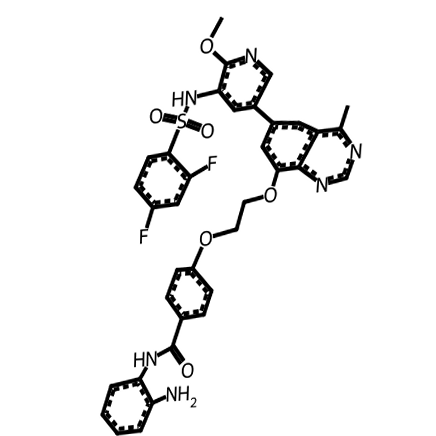 COc1ncc(-c2cc(OCCOc3ccc(C(=O)Nc4ccccc4N)cc3)c3ncnc(C)c3c2)cc1NS(=O)(=O)c1ccc(F)cc1F